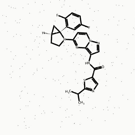 CC(C)c1ncc(C(=O)Nc2cnn3ccc(N4CC[C@H]5C[C@]54c4cc(F)ccc4F)nc23)s1